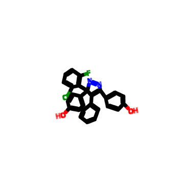 Oc1ccc(C2=C(c3ccccc3)C(c3ccc(O)cc3)(c3c(F)cccc3Cl)N=N2)cc1